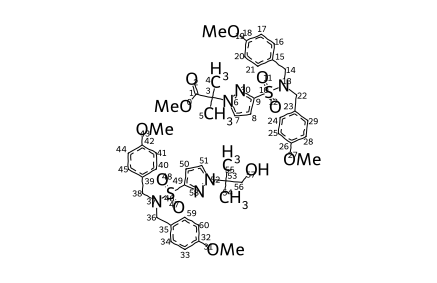 COC(=O)C(C)(C)n1ccc(S(=O)(=O)N(Cc2ccc(OC)cc2)Cc2ccc(OC)cc2)n1.COc1ccc(CN(Cc2ccc(OC)cc2)S(=O)(=O)c2ccn(C(C)(C)CO)n2)cc1